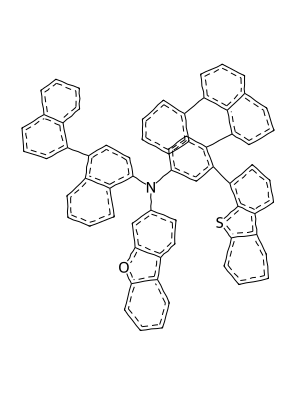 c1ccc(-c2cccc3cccc(-c4ccc(N(c5ccc6c(c5)oc5ccccc56)c5ccc(-c6cccc7ccccc67)c6ccccc56)cc4-c4cccc5c4sc4ccccc45)c23)cc1